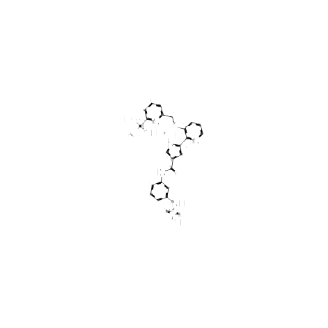 Cn1cc(C(=O)Nc2cccc(NS(C)(=O)=O)c2)cc1-c1ncccc1OCc1cccc(C(C)(C)O)n1